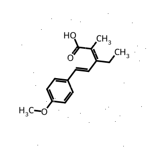 CCC(C=Cc1ccc(OC)cc1)=C(C)C(=O)O